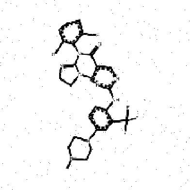 CN1CCN(c2ccc(Nc3ncc4c(n3)N3CCN=C3N(c3c(F)cccc3Cl)C4=O)c(C(F)(F)F)c2)CC1